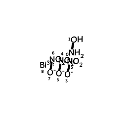 NO.O=[N+]([O-])[O-].O=[N+]([O-])[O-].O=[N+]([O-])[O-].[Bi+3]